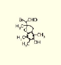 Cc1c(C)c2c(c(C)c1O)CCC(C)(C(Br)C=O)O2